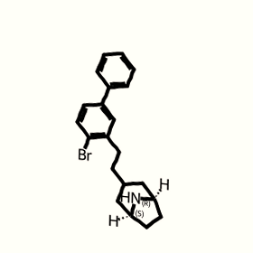 Brc1ccc(-c2ccccc2)cc1CCC1C[C@H]2CC[C@@H](C1)N2